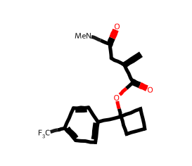 C=C(CC(=O)NC)C(=O)OC1(c2ccc(C(F)(F)F)cc2)CCC1